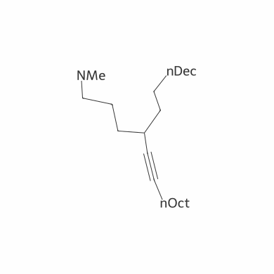 CCCCCCCCC#CC(CCCCCCCCCCCC)CCCNC